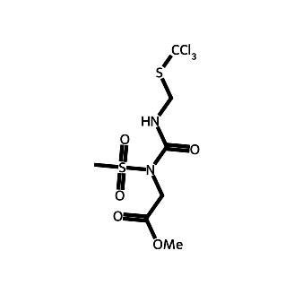 COC(=O)CN(C(=O)NCSC(Cl)(Cl)Cl)S(C)(=O)=O